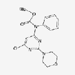 CC(C)(C)OC(=O)N(c1ccccc1)c1cc(Cl)nc(N2CCOCC2)n1